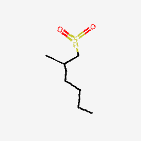 CCCCC(C)C[SH](=O)=O